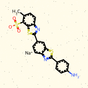 Cc1ccc2nc(-c3ccc4nc(-c5ccc(N)cc5)sc4c3)sc2c1S(=O)(=O)[O-].[Na+]